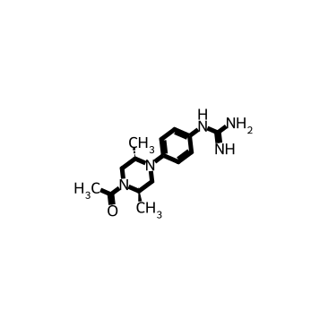 CC(=O)N1C[C@H](C)N(c2ccc(NC(=N)N)cc2)C[C@H]1C